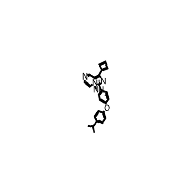 CC(C)c1ccc(Oc2ccc(C3=NC(C4=CC=C4)=C4C=NC=C[N+]34N)cc2)cc1